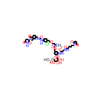 CN(CCOCCc1ccc(NC(=O)NCc2ccc3c(c2)CN(C2CCC(=O)NC2=O)C3=O)cc1Cl)C(=O)OCc1ccc(O[C@@H]2O[C@H](C(=O)O)[C@@H](O)[C@H](O)[C@H]2O)c(NC(=O)CCNC(=O)CCCCCN2C(=O)C=CC2=O)c1